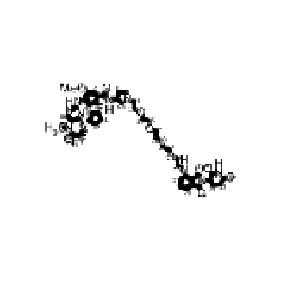 COc1cc(C(=O)NC2CCN(CCOCCOCCOCCOCCNc3cccc4c3C(=O)N(C3CCC(=O)NC3=O)C4=O)C2)c(F)cc1Nc1ncc2c(n1)N(C1CCCC1)CC(F)(F)C(=O)N2C